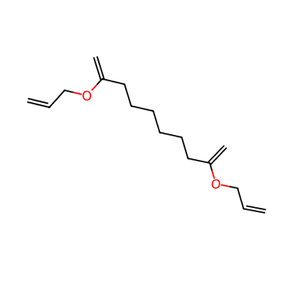 C=CCOC(=C)CCCCCCC(=C)OCC=C